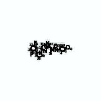 COc1ccc(NC(=O)N(I)c2cnn3ccc(N4CCCC4c4cc(F)ccc4F)nc23)cc1